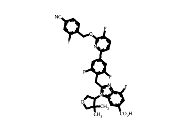 CC1(C)COCC1n1c(Cc2c(F)cc(-c3ccc(F)c(OCc4ccc(C#N)cc4F)n3)cc2F)nc2c(F)cc(C(=O)O)cc21